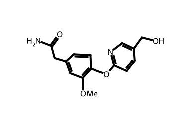 COc1cc(CC(N)=O)ccc1Oc1ccc(CO)cn1